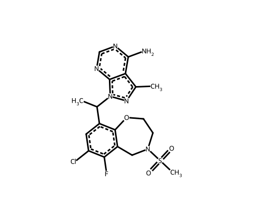 Cc1nn(C(C)c2cc(Cl)c(F)c3c2OCCN(S(C)(=O)=O)C3)c2ncnc(N)c12